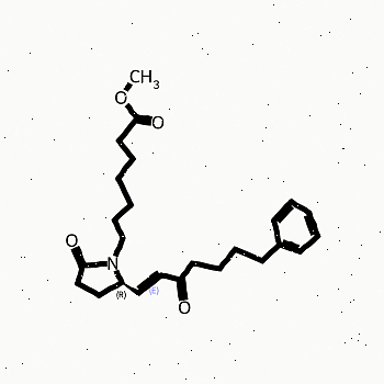 COC(=O)CCCCCCN1C(=O)CC[C@@H]1/C=C/C(=O)CCCCc1ccccc1